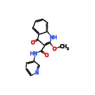 COc1[nH]c2ccccc2c(=O)c1C(=O)Nc1cccnc1